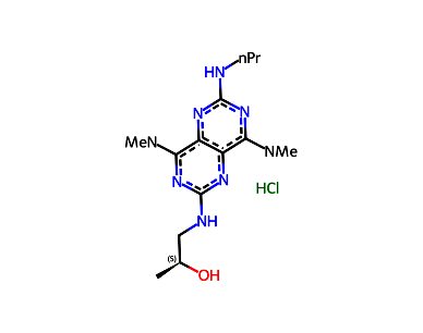 CCCNc1nc(NC)c2nc(NC[C@H](C)O)nc(NC)c2n1.Cl